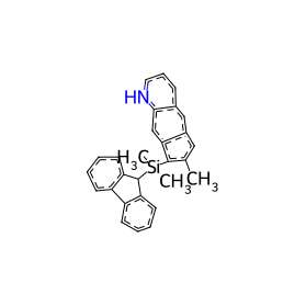 Cc1cc2cc3ccc[nH]c3cc2c1[Si](C)(C)C1c2ccccc2-c2ccccc21